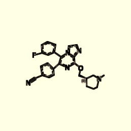 CN1CCC[C@@H](COc2nc(-c3ccc(C#N)cc3)c(-c3cccc(F)c3)n3ccnc23)C1